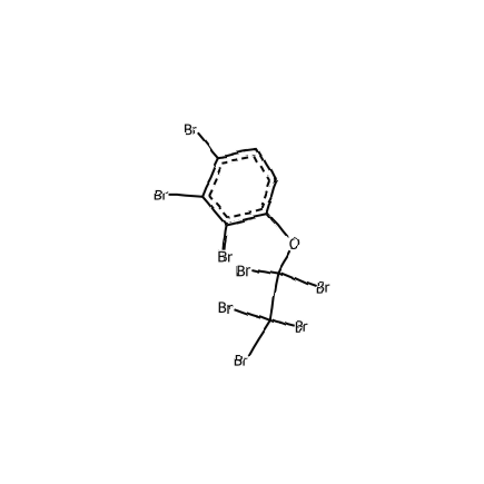 Brc1ccc(OC(Br)(Br)C(Br)(Br)Br)c(Br)c1Br